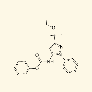 CCOC(C)(C)c1cc(NC(=O)Oc2ccccc2)n(-c2ccccc2)n1